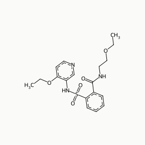 CCOCCNC(=O)c1ccccc1S(=O)(=O)Nc1cnccc1OCC